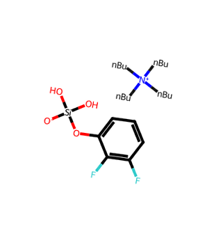 CCCC[N+](CCCC)(CCCC)CCCC.[O-][Si](O)(O)Oc1cccc(F)c1F